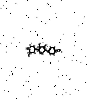 Cc1c(-c2ccc(C(F)(F)F)cc2)nnc(N2CCN[C@H](C)C2)c1C